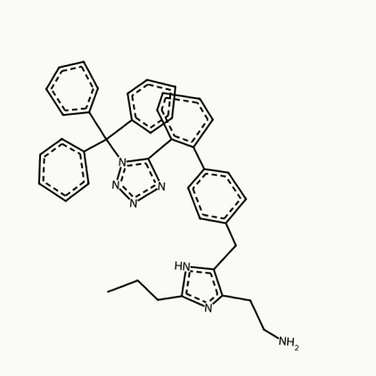 CCCc1nc(CCN)c(Cc2ccc(-c3ccccc3-c3nnnn3C(c3ccccc3)(c3ccccc3)c3ccccc3)cc2)[nH]1